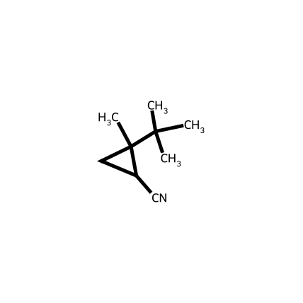 CC(C)(C)C1(C)CC1C#N